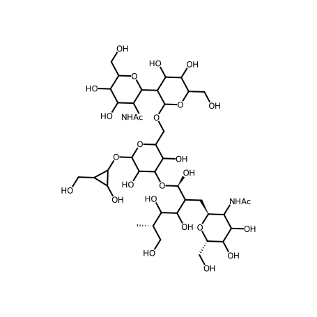 CC(=O)NC1C(O)C(O)C(CO)OC1C1C(OCC2OC(OC3C(O)C3CO)C(O)C(O[C@@H](O)C(C[C@@H]3O[C@@H](CO)C(O)C(O)C3NC(C)=O)C(O)C(O)[C@@H](C)CO)C2O)OC(CO)C(O)C1O